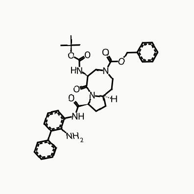 CC(C)(C)OC(=O)N[C@H]1CN(C(=O)OCc2ccccc2)CC[C@H]2CC[C@@H](C(=O)Nc3cccc(-c4ccccc4)c3N)N2C1=O